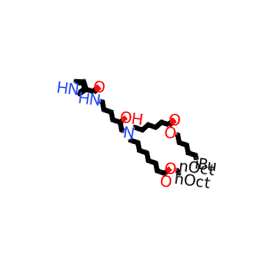 CCCCCCCCC(CCCCCCCC)OC(=O)CCCCCCCN(CCCCCC(=O)OCCCCCC(C)CC)CC(O)CCCCNC(=O)c1cc[nH]c1